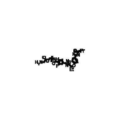 CCC(Oc1ccc(-c2noc(C(C)C)n2)cc1)c1nc(-c2ccc(C(=O)NC(C)(C)COC(=O)CN)c(F)c2)no1